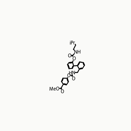 COC(=O)c1ccc(OC(=O)NCc2ccccc2-c2ccccc2OC(=O)NCCC(C)C)cc1